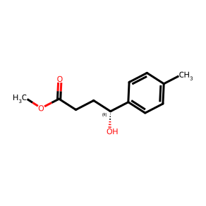 COC(=O)CC[C@@H](O)c1ccc(C)cc1